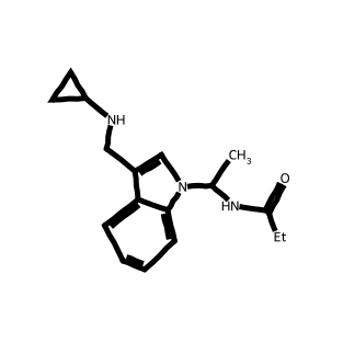 CCC(=O)NC(C)n1cc(CNC2CC2)c2ccccc21